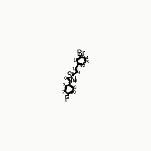 Fc1ccc(-c2csc(/C=C/c3cccc(Br)c3)n2)cc1